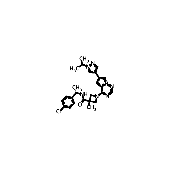 CC(C)n1cc(-c2cc3c(N4CC(C)(C(=O)N[C@@H](C)c5ccc(Cl)cc5)C4)ncnn3c2)cn1